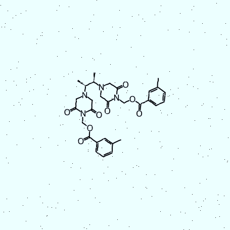 Cc1cccc(C(=O)OCN2C(=O)CN([C@H](C)[C@H](C)N3CC(=O)N(COC(=O)c4cccc(C)c4)C(=O)C3)CC2=O)c1